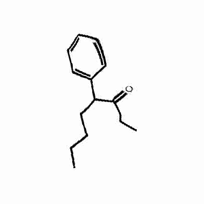 CCCCC(C(=O)CC)c1ccccc1